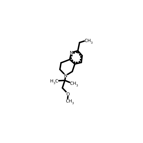 CCc1ccc2c(n1)CCN(C(C)(C)COC)C2